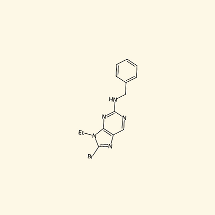 CCn1c(Br)nc2cnc(NCc3ccccc3)nc21